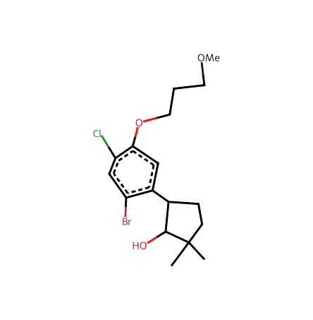 COCCCOc1cc(C2CCC(C)(C)C2O)c(Br)cc1Cl